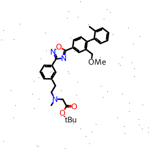 COCc1cc(-c2nc(-c3cccc(CCN(C)CC(=O)OC(C)(C)C)c3)no2)ccc1-c1ccccc1C